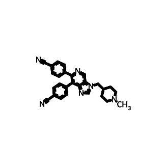 CN1CCC(Cn2cnc3c(-c4ccc(C#N)cc4)c(-c4ccc(C#N)cc4)ncc32)CC1